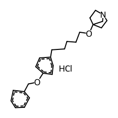 Cl.c1ccc(COc2ccc(CCCCCOC34CCN(CC3)C4)cc2)cc1